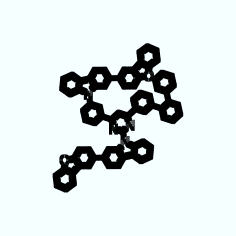 c1ccc(-c2ccccc2-c2cccc(-c3cc(-c4cccc(-n5c6ccccc6c6ccc(-c7ccc8oc9ccccc9c8c7)cc65)c4)nc(-n4c5ccccc5c5ccc(-c6ccc7oc8ccccc8c7c6)cc54)n3)c2)cc1